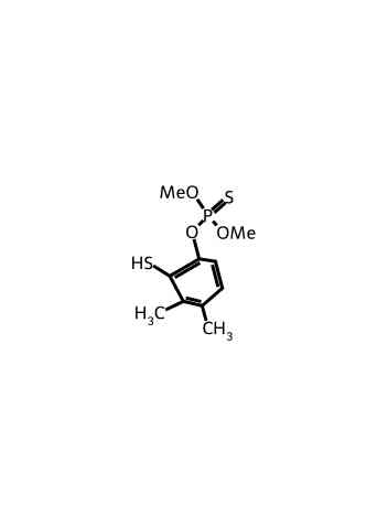 COP(=S)(OC)Oc1ccc(C)c(C)c1S